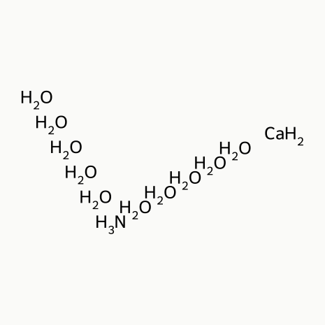 N.O.O.O.O.O.O.O.O.O.O.[CaH2]